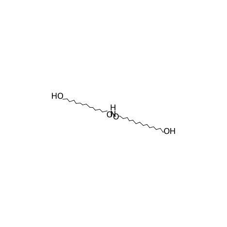 OCCCCCCCCCCCCCCONOCCCCCCCCCCCCCCO